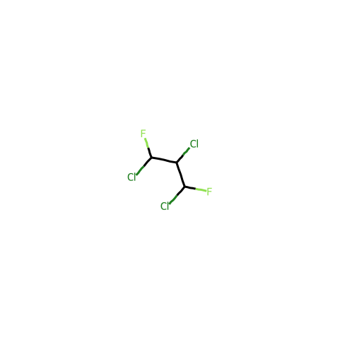 FC(Cl)C(Cl)C(F)Cl